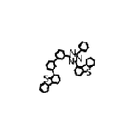 c1ccc(-c2nc(-c3cccc(-c4cccc(-c5cccc6c5sc5ccccc56)c4)c3)nc(-c3cccc4sc5ccccc5c34)n2)cc1